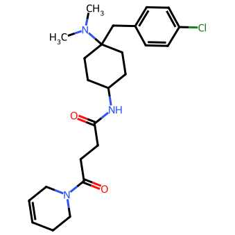 CN(C)C1(Cc2ccc(Cl)cc2)CCC(NC(=O)CCC(=O)N2CC=CCC2)CC1